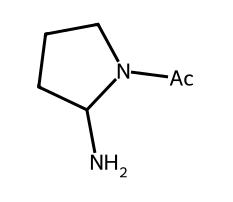 CC(=O)N1CCCC1N